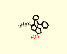 C=C(c1ccccc1)[C@@]12CC[C@@H](O)C1CC(CCCCCC)=C2c1ccccc1